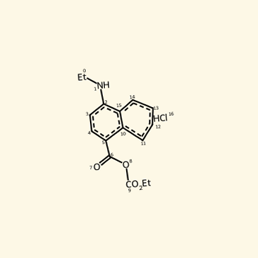 CCNc1ccc(C(=O)OC(=O)OCC)c2ccccc12.Cl